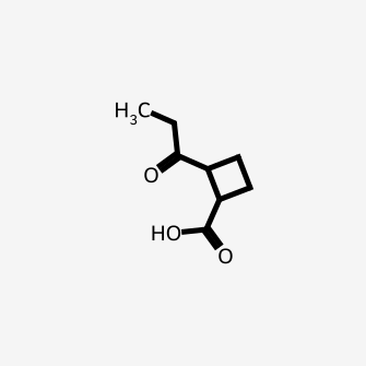 CCC(=O)C1CCC1C(=O)O